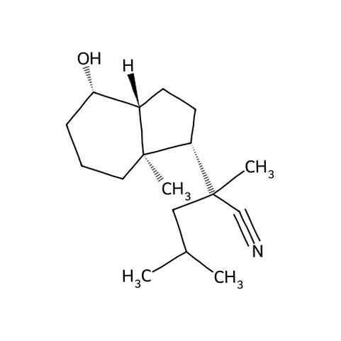 CC(C)CC(C)(C#N)[C@H]1CC[C@H]2[C@@H](O)CCC[C@]12C